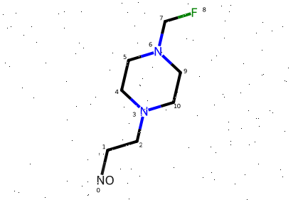 O=NCCN1CCN(CF)CC1